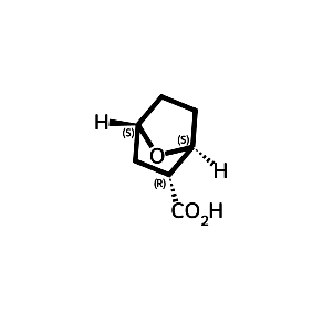 O=C(O)[C@@H]1C[C@@H]2CC[C@@H]1O2